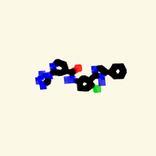 O=C(Nc1ccc(Cl)c(-c2ncc(-c3ccccc3)[nH]2)c1)c1ccnc(-n2cnnn2)c1